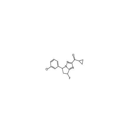 O=C(c1nc2n(n1)C(c1cccc(Cl)c1)CC2F)C1CC1